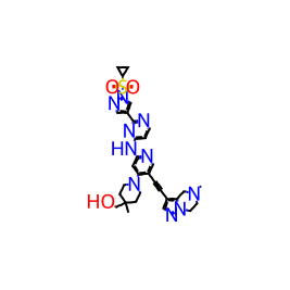 CN1CCn2ncc(C#Cc3cnc(Nc4ccnc(-c5cnn(S(=O)(=O)C6CC6)c5)n4)cc3N3CCC(C)(CO)CC3)c2C1